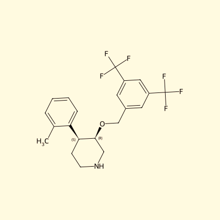 Cc1ccccc1[C@@H]1CCNC[C@@H]1OCc1cc(C(F)(F)F)cc(C(F)(F)F)c1